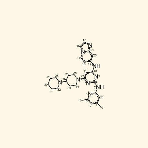 Cc1cc(C)nc(Nc2nc(Nc3ccn4ccnc4c3)cc(N3CCC(N4CCCCC4)CC3)n2)c1